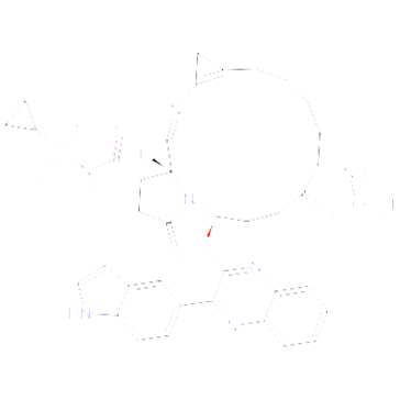 O=C(O)N[C@H]1CCCCC2=C(C2)/N=C\[C@H]2[C@@H](C(=O)NS(=O)(=O)C3CC3)CC(=O)N2[C@H](Oc2nc3ccccc3nc2-c2ccc3[nH]ccc3c2)CCC1=O